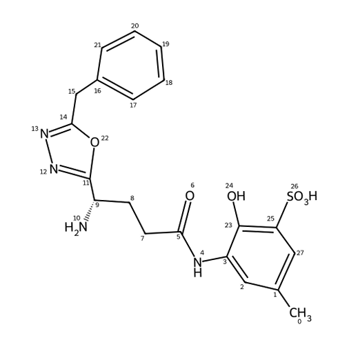 Cc1cc(NC(=O)CC[C@H](N)c2nnc(Cc3ccccc3)o2)c(O)c(S(=O)(=O)O)c1